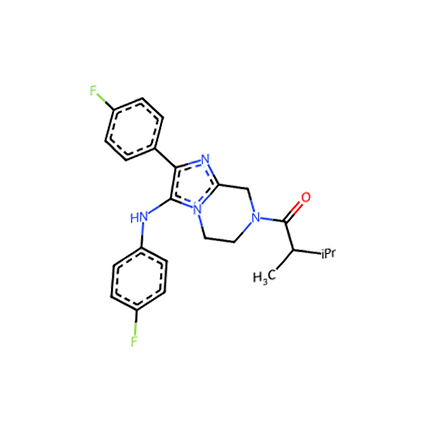 CC(C)C(C)C(=O)N1CCn2c(nc(-c3ccc(F)cc3)c2Nc2ccc(F)cc2)C1